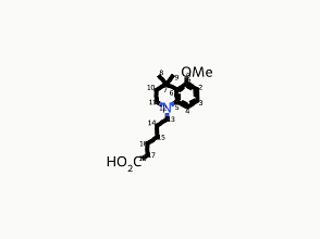 COc1cccc2c1C(C)(C)CCN2CCCCCC(=O)O